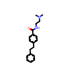 CN(C)CCNC(=O)c1ccc(CCc2ccccc2)cc1